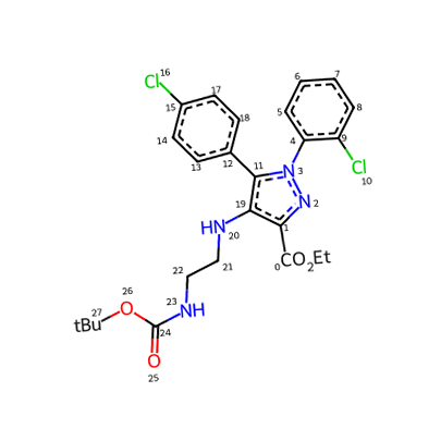 CCOC(=O)c1nn(-c2ccccc2Cl)c(-c2ccc(Cl)cc2)c1NCCNC(=O)OC(C)(C)C